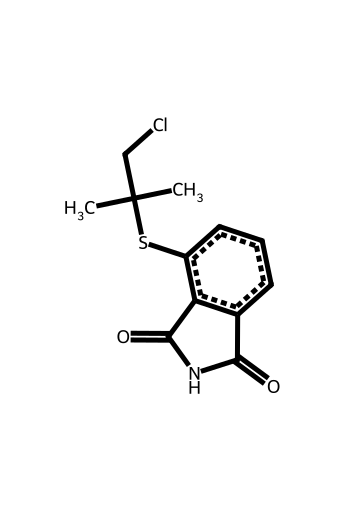 CC(C)(CCl)Sc1cccc2c1C(=O)NC2=O